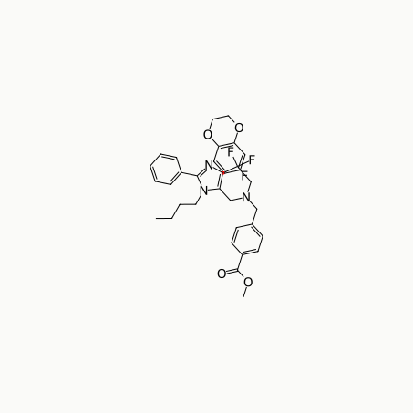 CCCCn1c(-c2ccccc2)nc(C(F)(F)F)c1CN(Cc1ccc(C(=O)OC)cc1)Cc1ccc2c(c1)OCCO2